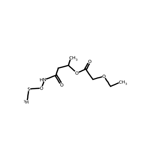 [3H]SONC(=O)CC(C)OC(=O)COCC